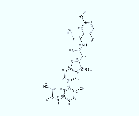 COc1ccc(F)c(C(CO)NC(=O)CN2Cc3ccc(-c4nc(NC(C)CO)ncc4Cl)cc3C2=O)c1